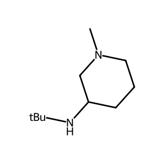 CN1CCCC(NC(C)(C)C)C1